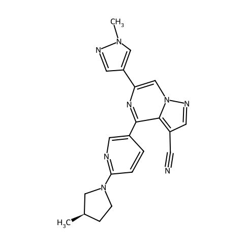 C[C@@H]1CCN(c2ccc(-c3nc(-c4cnn(C)c4)cn4ncc(C#N)c34)cn2)C1